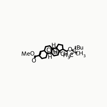 COC(=O)C1=CC2CC[C@@H]3[C@@H](CC[C@]4(C)C(CO[Si](C)(C)C(C)(C)C)CC[C@@H]34)[C@@]2(C)CC1